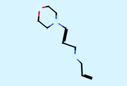 C=CCNCC=CN1CCOCC1